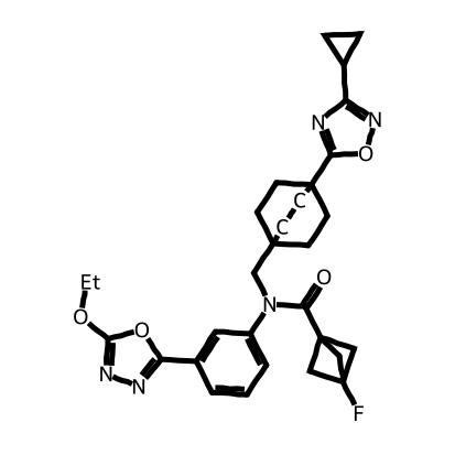 CCOc1nnc(-c2cccc(N(CC34CCC(c5nc(C6CC6)no5)(CC3)CC4)C(=O)C34CC(F)(C3)C4)c2)o1